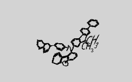 CC1(C)c2cc(-c3ccccc3)ccc2-c2ccc(N(c3ccc(-c4ccc5ccccc5c4)cc3)c3cccc4oc5ccccc5c34)cc21